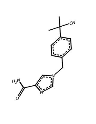 CC(C)(C#N)c1ccc(Cn2cnc(C(N)=O)c2)cc1